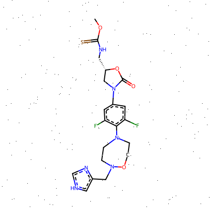 COC(=S)NC[C@H]1CN(c2cc(F)c(N3CCON(Cc4c[nH]cn4)CC3)c(F)c2)C(=O)O1